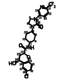 O=C(NC1CCC(N2CCN(c3ccc(C(F)(F)F)nc3)C2=O)CC1)C1CC(O)c2cc(Cl)ccc2O1